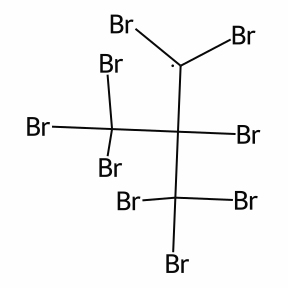 Br[C](Br)C(Br)(C(Br)(Br)Br)C(Br)(Br)Br